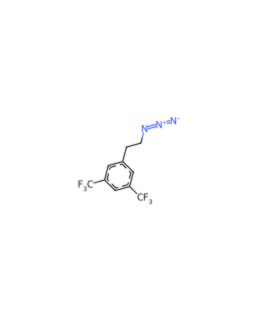 [N-]=[N+]=NCCc1cc(C(F)(F)F)cc(C(F)(F)F)c1